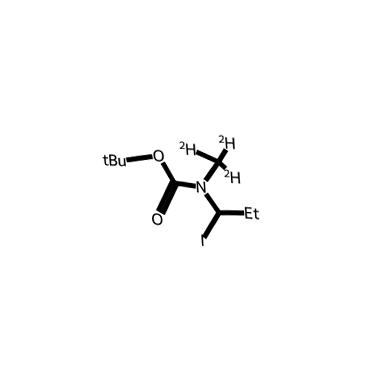 [2H]C([2H])([2H])N(C(=O)OC(C)(C)C)C(I)CC